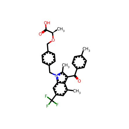 Cc1ccc(C(=O)c2c(C)n(Cc3ccc(CO[C@H](C)C(=O)O)cc3)c3cc(C(F)(F)F)cc(C)c23)cc1